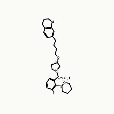 O=C(O)[C@H](c1cccc(F)c1[C@@H]1CCCCO1)N1CC[C@@H](OCCCCc2ccc3c(n2)NCCC3)C1